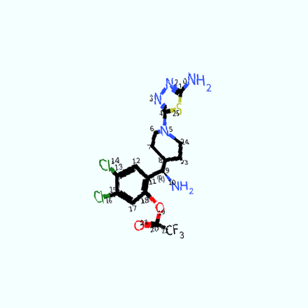 Nc1nnc(N2CCC([C@@H](N)c3cc(Cl)c(Cl)cc3OC(=O)C(F)(F)F)CC2)s1